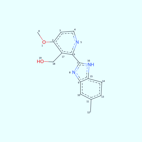 COc1ccnc(-c2nc3cc(C)ccc3[nH]2)c1CO